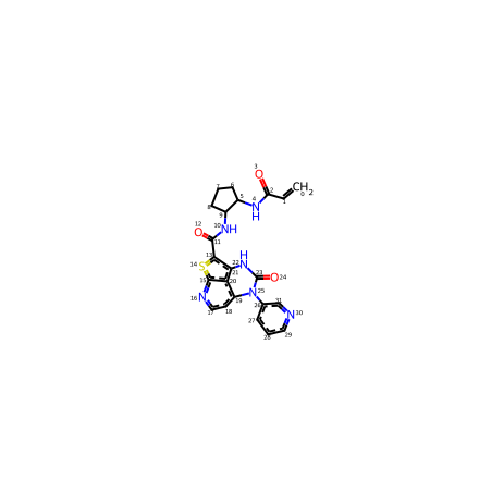 C=CC(=O)NC1CCCC1NC(=O)c1sc2nccc3c2c1NC(=O)N3c1cccnc1